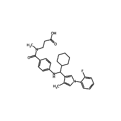 Cc1cn(-c2ccccc2F)cc1C(Nc1ccc(C(=O)N(C)CCC(=O)O)cc1)C1CCCCC1